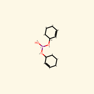 OP(OC1C=CCCC1)OC1C=CCCC1